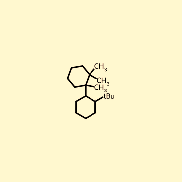 CC(C)(C)[C]1CCCCC1C1(C)CCCCC1(C)C